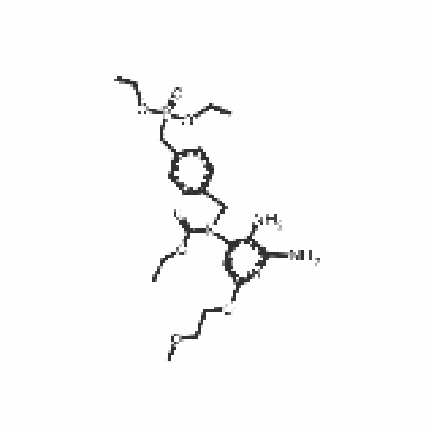 CCOC(=O)N(Cc1ccc(CP(=O)(OCC)OCC)cc1)c1cc(OCCOC)nc(N)c1N